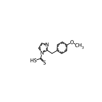 COc1ccc(Cc2nccn2C(=S)S)cc1